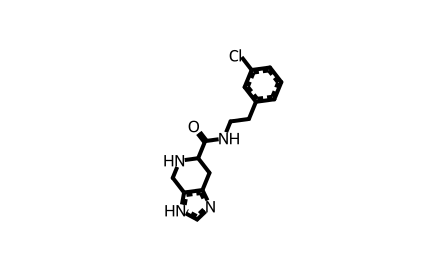 O=C(NCCc1cccc(Cl)c1)C1Cc2nc[nH]c2CN1